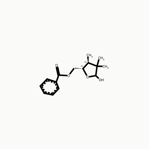 C[C@@H]1[C@@H](COC(=O)c2ccccc2)OC(O)C1(C)C